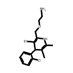 CCC1=C(COCCN)NC(C)=C(C)C1c1ccccc1Cl